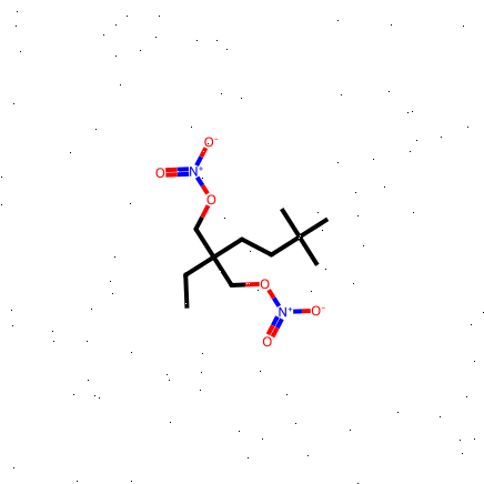 CCC(CCC(C)(C)C)(CO[N+](=O)[O-])CO[N+](=O)[O-]